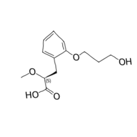 CO[C@@H](Cc1ccccc1OCCCO)C(=O)O